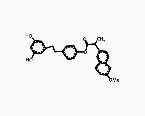 COc1ccc2cc(C(C)C(=O)Oc3ccc(CCc4cc(O)cc(O)c4)cc3)ccc2c1